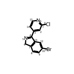 Clc1cc(C2=NCc3ccc(Br)cc32)ccn1